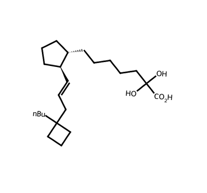 CCCCC1(CC=C[C@H]2CCC[C@@H]2CCCCCC(O)(O)C(=O)O)CCC1